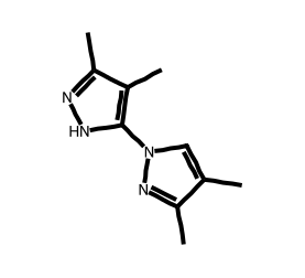 Cc1cn(-c2[nH]nc(C)c2C)nc1C